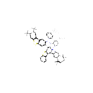 CC(C)(C)c1ccc(N2B3c4cc(C(C)(C)C)ccc4-n4c5cc6c(cc5c5c7c(sc8ccccc87)c(c3c54)-c3cc4sc5cc7c(cc5c4cc32)C(C)(C)CCC7(C)C)C(C)(C)CCC6(C)C)cc1